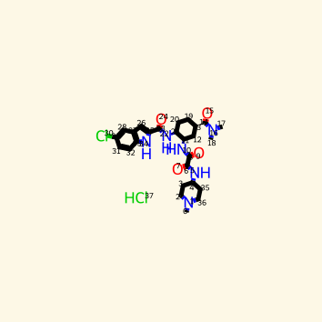 CN1CCC(NC(=O)C(=O)N[C@@H]2C[C@@H](C(=O)N(C)C)CC[C@@H]2NC(=O)c2cc3cc(Cl)ccc3[nH]2)CC1.Cl